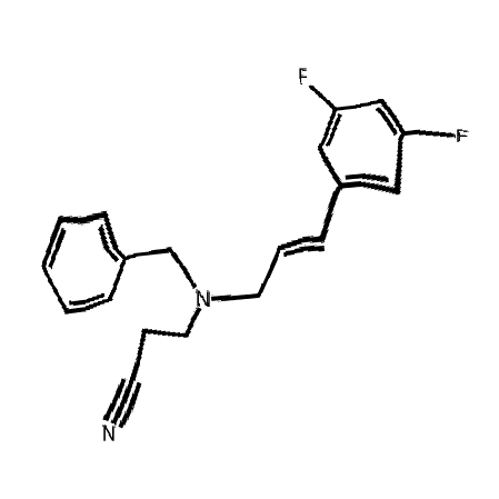 N#CCCN(C/C=C/c1cc(F)cc(F)c1)Cc1ccccc1